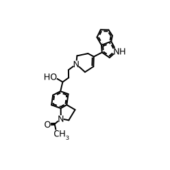 CC(=O)N1CCc2cc(C(O)CCN3CC=C(c4c[nH]c5ccccc45)CC3)ccc21